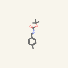 Cc1ccc(C=NC(=O)OC(C)(C)C)cc1